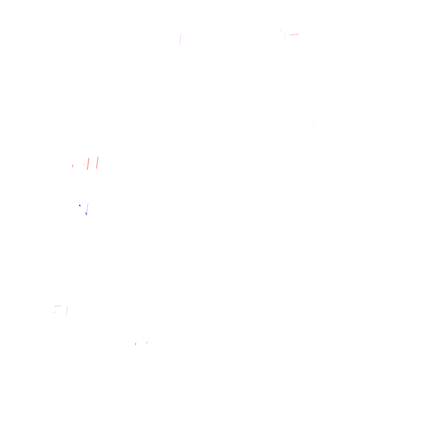 CCc1oc2ccccc2c1C(=NO)c1cc(I)c(O)c(I)c1